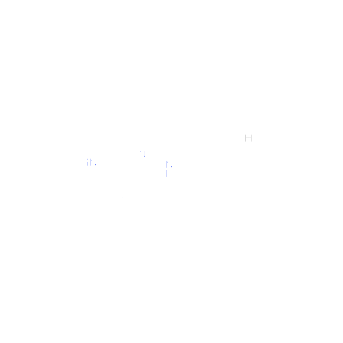 N=C(N)NNCCC=O